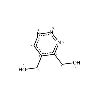 OCc1cnnnc1CO